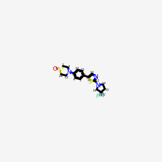 [O-][S+]1CCN(c2ccc(-c3cnc(N4CCC(F)(F)C4)s3)cc2)CC1